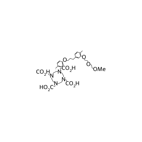 COCCOCCOc1cc(CCCOc2ccc(C[C@H]3CN(CC(=O)O)CCN(CC(=O)O)CCN(CC(=O)O)CCN3CC(=O)O)cc2)ccc1C